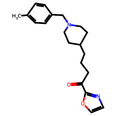 Cc1ccc(CN2CCC(CCCC(=O)c3ncco3)CC2)cc1